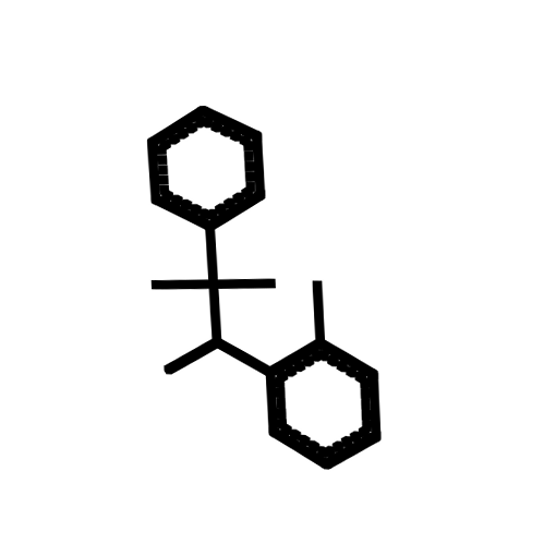 Cc1ccccc1C(C)C(C)(C)c1ccccc1